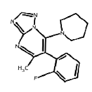 Cc1nc2ncnn2c(N2CCCCC2)c1-c1ccccc1F